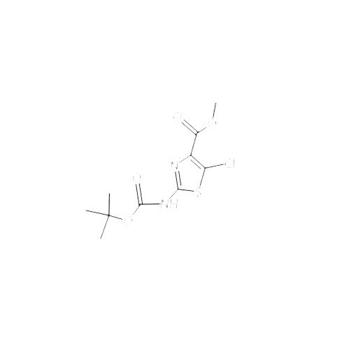 COC(=O)c1nc(NC(=O)OC(C)(C)C)sc1Cl